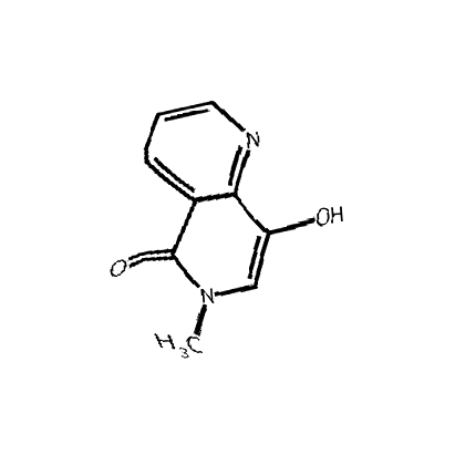 Cn1cc(O)c2ncccc2c1=O